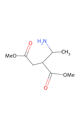 COC(=O)CC(C(=O)OC)C(C)N